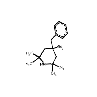 CC1(C)CC(N)(Cc2ccccc2)CC(C)(C)N1